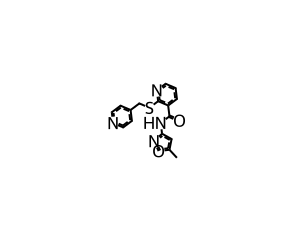 Cc1cc(NC(=O)c2cccnc2SCc2ccncc2)no1